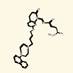 CC(C)CCC(=O)OCN1C(=O)CCc2ccc(OCCCCN3CCN(c4cccc5ccccc45)CC3)nc21